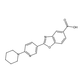 O=C(O)c1ccc2oc(-c3ccc(N4CCCCC4)nc3)nc2c1